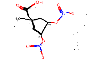 CC1(C(=O)O)C[C@H](O[N+](=O)[O-])[C@H](O[N+](=O)[O-])C1